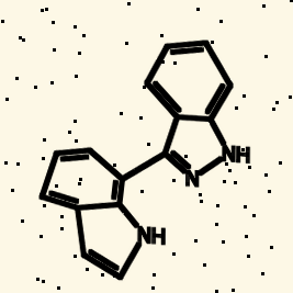 c1cc(-c2n[nH]c3ccccc23)c2[nH]ccc2c1